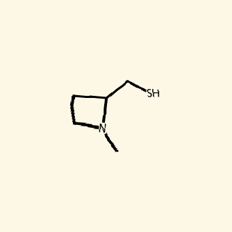 CN1CCC1CS